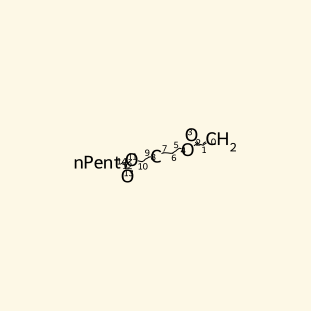 C=CC(=O)OCCCCCCOC(=O)CCCCC